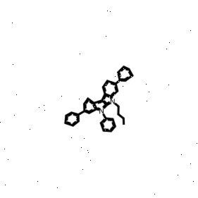 CCCCn1c2cc(-c3ccccc3)ccc2c2c3ccc(-c4ccccc4)cc3n(-c3ccccc3)c21